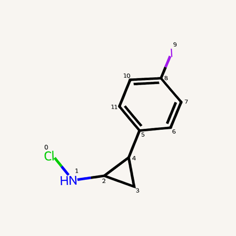 ClNC1CC1c1ccc(I)cc1